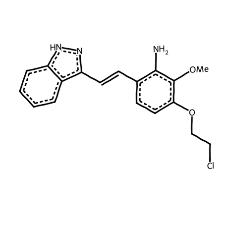 COc1c(OCCCl)ccc(C=Cc2n[nH]c3ccccc23)c1N